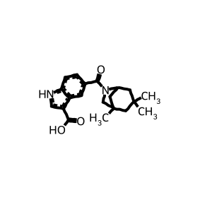 CC1(C)CC2CC(C)(CN2C(=O)c2ccc3[nH]cc(C(=O)O)c3c2)C1